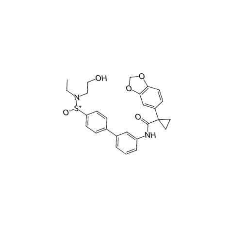 CCN(CCO)[S+]([O-])c1ccc(-c2cccc(NC(=O)C3(c4ccc5c(c4)OCO5)CC3)c2)cc1